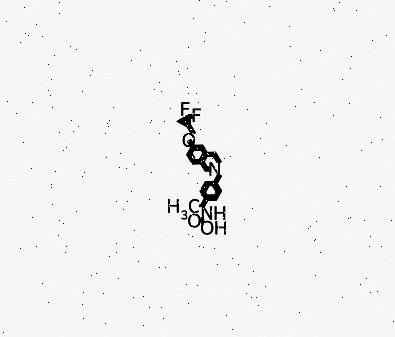 C[C@H](NC(=O)O)c1ccc(CN2CCc3cc(OCC4CC4(F)F)ccc3C2)cc1